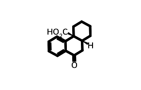 O=C1C[C@H]2CCCC[C@@]2(C(=O)O)c2ccccc21